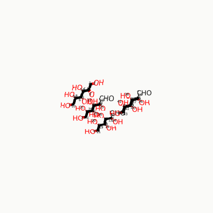 O=C(CO)[C@@H](O)[C@H](O)[C@H](O)CO.O=C[C@H](O)[C@@H](O)[C@@H](O)[C@H](O)CO.O=C[C@H](O)[C@@H](O)[C@@H](O)[C@H](O)CO.O=C[C@H](O)[C@@H](O)[C@H](O)[C@H](O)CO